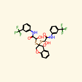 O=C(Nc1cccc(C(F)(F)F)c1)C(O)SC1(SC(O)C(=O)Nc2cccc(C(F)(F)F)c2)COc2ccccc2C1=O